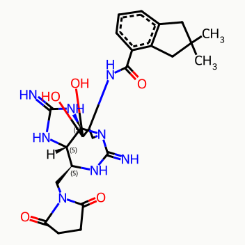 CC1(C)Cc2cccc(C(=O)NC3CN4C(=N)N[C@@H](CN5C(=O)CCC5=O)[C@@H]5NC(=N)N[C@@]54C3(O)O)c2C1